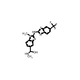 CNC(O)c1ccc2c(c1)nc(Nc1nc3ccc(C(F)(F)F)cc3s1)n2C